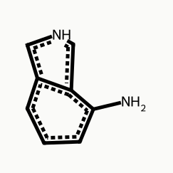 Nc1cccc2c[nH]cc12